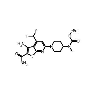 CN(C(=O)OC(C)(C)C)C1CCN(c2cc(C(F)F)c3c(N)c(C(N)=O)sc3n2)CC1